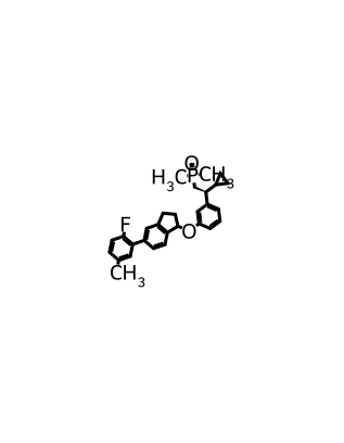 Cc1ccc(F)c(-c2ccc3c(c2)CCC3Oc2cccc([C@@H](CP(C)(C)=O)C3CC3)c2)c1